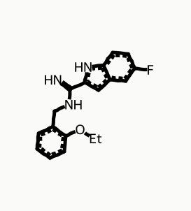 CCOc1ccccc1CNC(=N)c1cc2cc(F)ccc2[nH]1